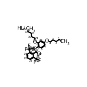 CCCCCOc1ccc(PC(=O)c2c(C(F)(F)F)cccc2C(F)(F)F)c(OCCCCC)c1.[LiH]